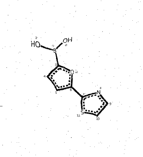 OB(O)c1ccc(-c2nccs2)o1